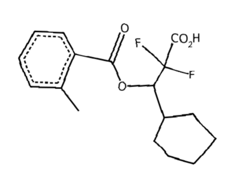 Cc1ccccc1C(=O)OC(C1CCCCC1)C(F)(F)C(=O)O